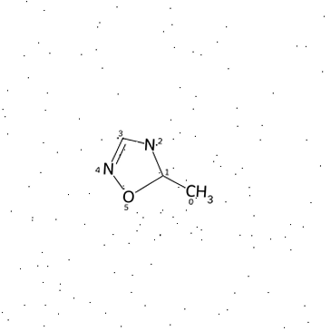 CC1[N][C]=NO1